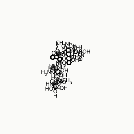 CCCCOC(=O)C1(O)c2ccccc2-c2ccccc21.CN(C)[C@@H]1C(O)=C(C(N)=O)C(=O)[C@@]2(O)C(O)=C3C(=O)c4c(O)cccc4[C@@](C)(O)[C@H]3C[C@@H]12.CN[C@@H]1[C@H](O[C@H]2[C@H](O[C@H]3[C@H](O)[C@@H](O)[C@H](NC(=N)N)[C@@H](O)[C@@H]3NC(=N)N)O[C@@H](C)[C@]2(O)C=O)O[C@@H](CO)[C@H](O)[C@H]1O.O=C1CC(=O)NC(O)=N1